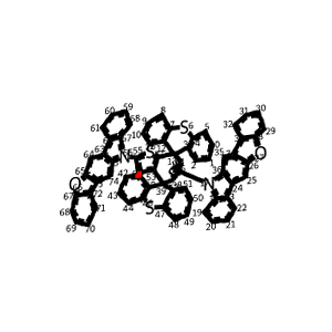 c1ccc2c(c1)Sc1ccccc1C21c2cc(-n3c4ccccc4c4cc5oc6ccccc6c5cc43)sc2C2(c3ccccc3Sc3ccccc32)c2cc(-n3c4ccccc4c4cc5oc6ccccc6c5cc43)sc21